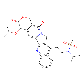 CC(C)O[C@@H]1C(=O)OCc2c1cc1n(c2=O)Cc2c-1nc1ccccc1c2CCN(C(C)C)S(C)(=O)=O